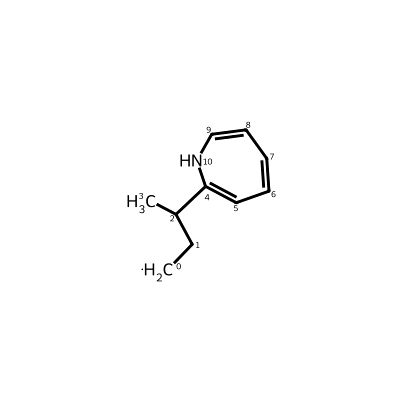 [CH2]CC(C)C1=CC=CC=CN1